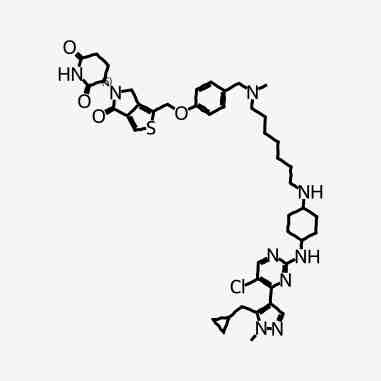 CN(CCCCCCCNC1CCC(Nc2ncc(Cl)c(-c3cnn(C)c3CC3CC3)n2)CC1)Cc1ccc(OCc2scc3c2CN([C@H]2CCC(=O)NC2=O)C3=O)cc1